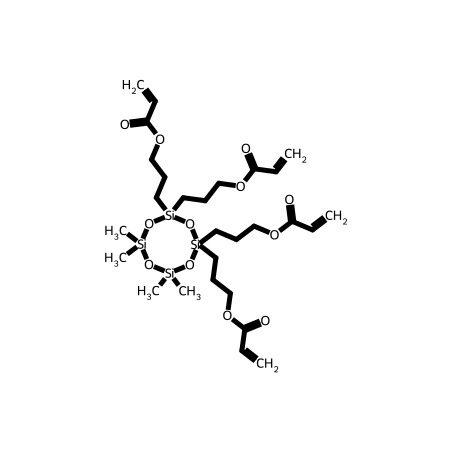 C=CC(=O)OCCC[Si]1(CCCOC(=O)C=C)O[Si](C)(C)O[Si](C)(C)O[Si](CCCOC(=O)C=C)(CCCOC(=O)C=C)O1